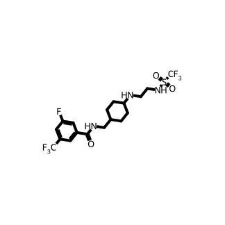 O=C(NCC1CCC(NCCNS(=O)(=O)C(F)(F)F)CC1)c1cc(F)cc(C(F)(F)F)c1